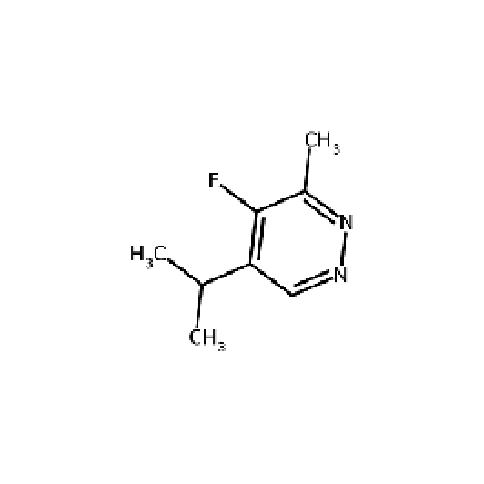 Cc1nncc(C(C)C)c1F